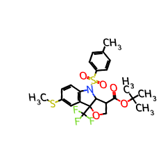 CSc1ccc2c(c1)C1(C(F)(F)F)OCC(C(=O)OC(C)(C)C)C1N2S(=O)(=O)c1ccc(C)cc1